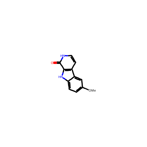 COc1ccc2[nH]c3c(=O)[nH]ccc3c2c1